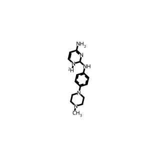 [2H]N1C=CC(N)=NC1Nc1ccc(N2CCN(C)CC2)cc1